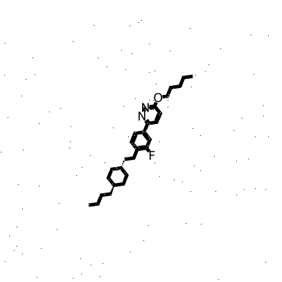 CCCCCOc1ccc(-c2ccc(CC[C@H]3CC[C@H](CCCC)CC3)c(F)c2)nn1